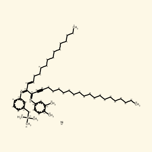 CCCCCCCCCCCCCC=CC(=Nc1cccc(C[Si](C)(C)C)c1)C(C#CCCCCCCCCCCCCCCCCCC)=Nc1ccc(C)c(C)c1.[Ni]